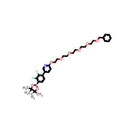 CC1(C)OB(c2ccc(-c3ccc(OCCOCCOCCOCCOCCOCc4ccccc4)nc3)c(F)c2F)OC1(C)C